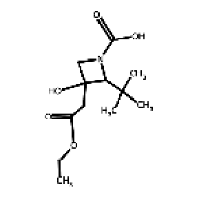 CCOC(=O)CC1(O)CN(C(=O)O)C1C(C)(C)C